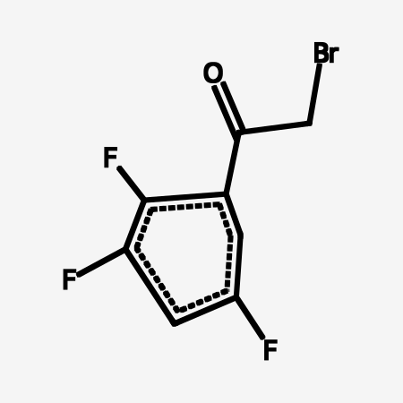 O=C(CBr)c1cc(F)cc(F)c1F